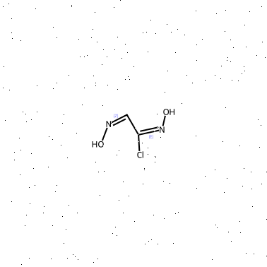 O/N=C\C(Cl)=N/O